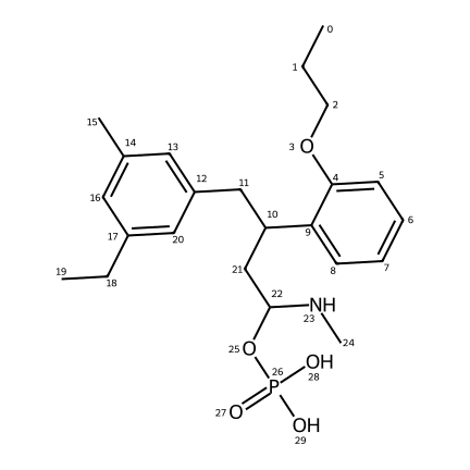 CCCOc1ccccc1C(Cc1cc(C)cc(CC)c1)CC(NC)OP(=O)(O)O